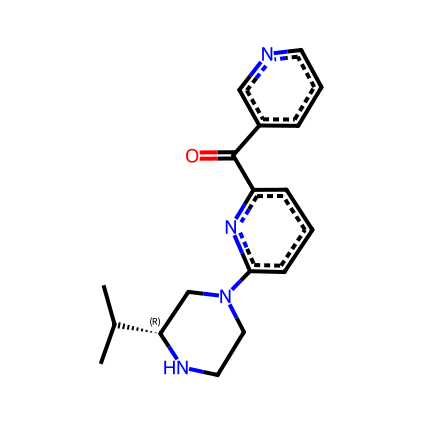 CC(C)[C@@H]1CN(c2cccc(C(=O)c3cccnc3)n2)CCN1